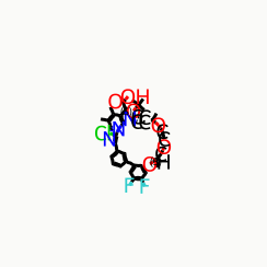 Cc1c([C@H](OC(C)(C)C)C(=O)O)c2n3c(Cl)c(nc3c1C)-c1cccc(c1)-c1cc(F)c(F)cc1O[C@@H](C)COCCOC1(C)CCN2CC1